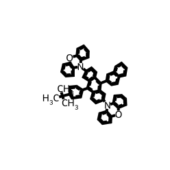 CC(C)(C)c1ccc(-c2c3ccc(N4c5ccccc5Oc5ccccc54)cc3c(-c3ccc4ccccc4c3)c3ccc(N4c5ccccc5Oc5ccccc54)cc23)cc1